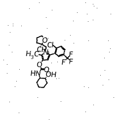 Cc1c(OC(=O)N[C@@H]2CCCC[C@H]2O)cc(-c2cc(C(F)(F)F)ccc2Cl)n1C[C@@]1(C)CCCO1